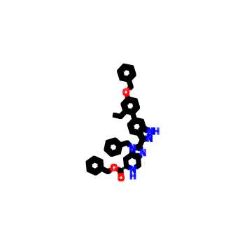 CCc1cc(OCc2ccccc2)ccc1-c1ccc2c(-c3nc4c(n3Cc3ccccc3)C[C@@H](C(=O)OCc3ccccc3)NC4)n[nH]c2c1